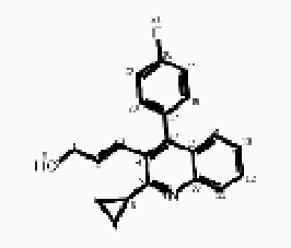 OCC=Cc1c(C2CC2)nc2ccccc2c1-c1ccc(F)cc1